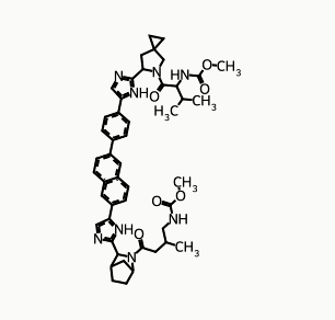 COC(=O)NCC(C)CC(=O)N1C2CCC(C2)C1c1ncc(-c2ccc3cc(-c4ccc(-c5cnc(C6CC7(CC7)CN6C(=O)C(NC(=O)OC)C(C)C)[nH]5)cc4)ccc3c2)[nH]1